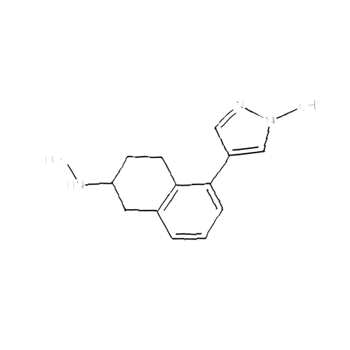 CNC1CCc2c(cccc2-c2cnn(C)c2)C1